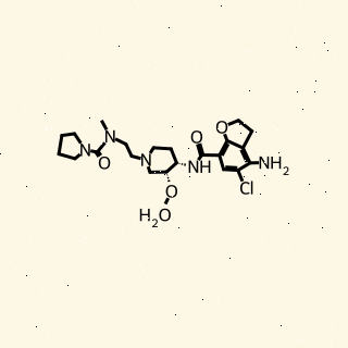 CO[C@@H]1CN(CCN(C)C(=O)N2CCCC2)CC[C@@H]1NC(=O)c1cc(Cl)c(N)c2c1OCC2.O